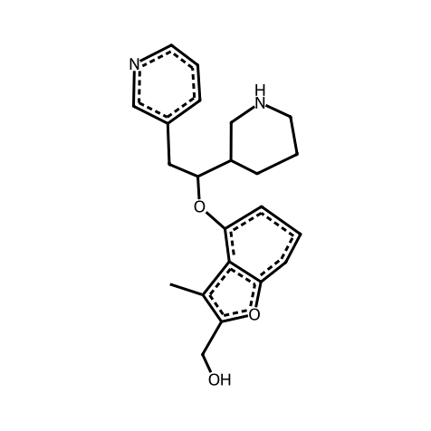 Cc1c(CO)oc2cccc(OC(Cc3cccnc3)C3CCCNC3)c12